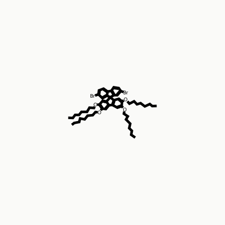 CCCCCCCCOc1cc2c(cc1OCCCCCCCC)C1(c3cc(Br)ccc3-c3ccc(Br)cc31)c1cc(OCCCCCCCC)c(OCCCCCCCC)cc1-2